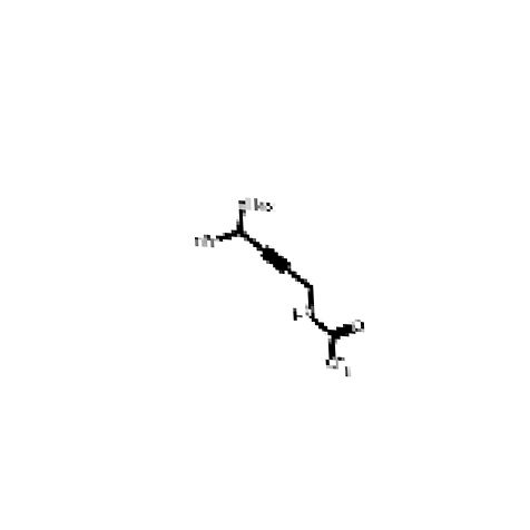 CCCCCCC(C#CCNC(=O)C(F)(F)F)CCC